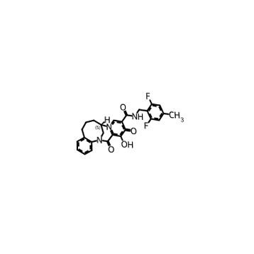 Cc1cc(F)c(CNC(=O)c2cn3c(c(O)c2=O)C(=O)N2C[C@@H]3CCCc3ccccc32)c(F)c1